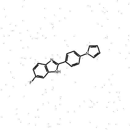 Fc1ccc2nc(-c3ccc(-n4cccc4)cc3)[nH]c2c1